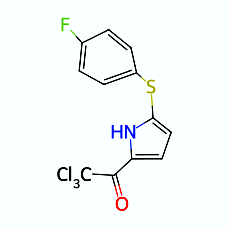 O=C(c1ccc(Sc2ccc(F)cc2)[nH]1)C(Cl)(Cl)Cl